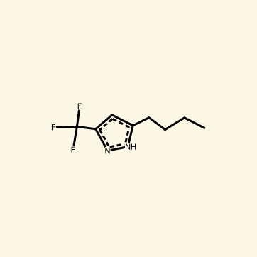 CCCCc1cc(C(F)(F)F)n[nH]1